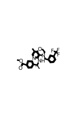 COC(=O)c1ccc([C@H](C)Nc2ncc(C)c3c2N(Cc2cccc(C(F)(F)F)c2)CCO3)cc1